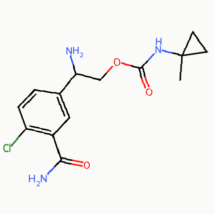 CC1(NC(=O)OCC(N)c2ccc(Cl)c(C(N)=O)c2)CC1